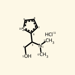 CN(C)C(CO)c1cccs1.Cl